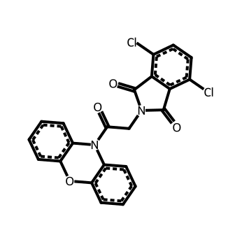 O=C1c2c(Cl)ccc(Cl)c2C(=O)N1CC(=O)N1c2ccccc2Oc2ccccc21